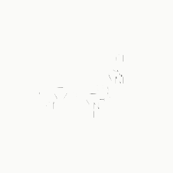 CCc1cc(C(=O)Oc2cc(CSc3ccc(Cl)c(Cl)c3)c[nH]c2=O)[nH]n1